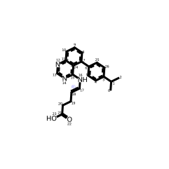 CC(C)c1ccc(-c2cccc3ncnc(N/C=C/CCC(=O)O)c23)cc1